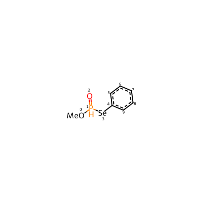 CO[PH](=O)[Se]c1ccccc1